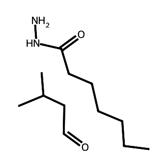 CC(C)CC=O.CCCCCCC(=O)NN